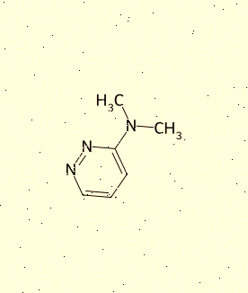 CN(C)c1c[c]cnn1